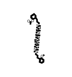 COc1ccccc1CCC[Si](C)(C)[Si](C)(C)[Si](C)(C)[Si](C)(C)[Si](C)(C)[Si](C)(C)[Si](C)(C)[Si](C)(C)[Si](C)(C)[Si](C)(C)[Si](C)(C)[Si](C)(C)CCCc1ccccc1OC(C)=O